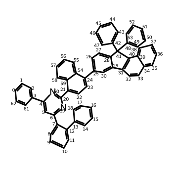 c1ccc(-c2cc(-c3ccccc3-c3ccccc3)nc(-c3ccc(-c4ccc5c(c4)-c4ccc6ccccc6c4C5(c4ccccc4)c4ccccc4)c4ccccc34)n2)cc1